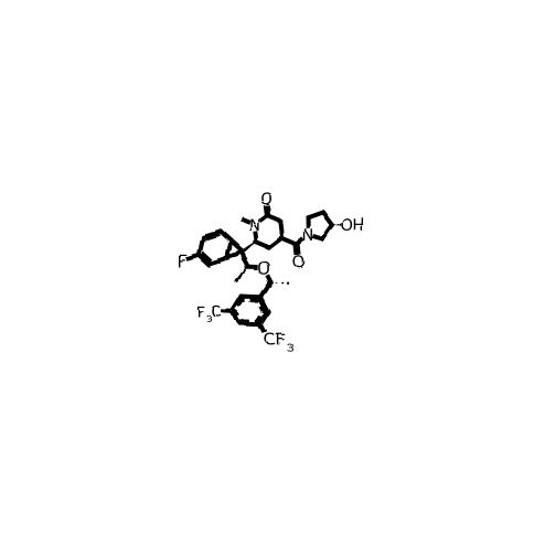 C[C@H](O[C@H](C)c1cc(C(F)(F)F)cc(C(F)(F)F)c1)C1([C@@H]2CC(C(=O)N3CC[C@H](O)C3)CC(=O)N2C)C2C=CC(F)=CC21